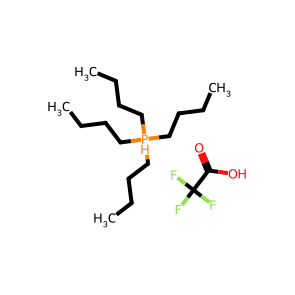 CCCC[PH](CCCC)(CCCC)CCCC.O=C(O)C(F)(F)F